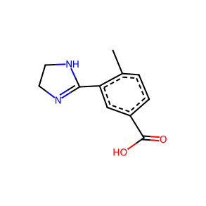 Cc1ccc(C(=O)O)cc1C1=NCCN1